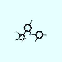 Cc1cc(I)ccc1Nc1cc(F)ccc1-c1nnn(C)c1O